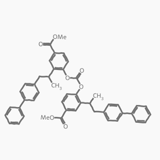 COC(=O)c1ccc(OC(=O)Oc2ccc(C(=O)OC)cc2C(C)Cc2ccc(-c3ccccc3)cc2)c(C(C)Cc2ccc(-c3ccccc3)cc2)c1